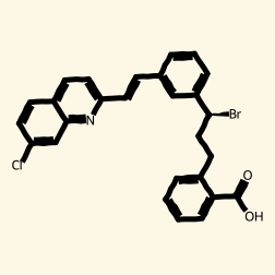 O=C(O)c1ccccc1CC[C@H](Br)c1cccc(/C=C/c2ccc3ccc(Cl)cc3n2)c1